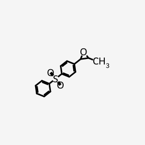 CC1OC1c1ccc(S(=O)(=O)c2ccccc2)cc1